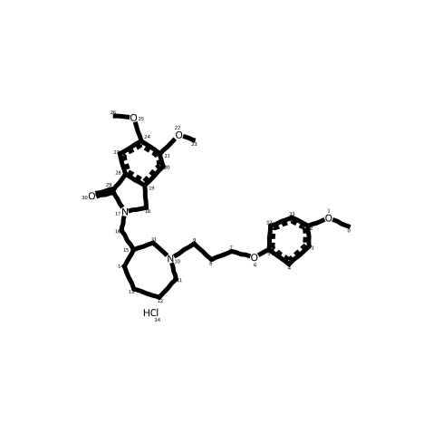 COc1ccc(OCCCN2CCCCC(CN3Cc4cc(OC)c(OC)cc4C3=O)C2)cc1.Cl